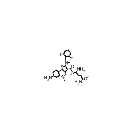 CO/C(N)=C/C=C(\N)N(C)C(=O)c1c(N(C)Cc2c(F)cccc2F)sc(-c2ccc(N)cc2)c1CN(C)C